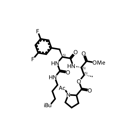 CCC(C)CCCNC(=O)N[C@@H](Cc1cc(F)cc(F)c1)C(=O)N[C@H](C(=O)OC)[C@H](C)OC(=O)C1CCCN1C(C)=O